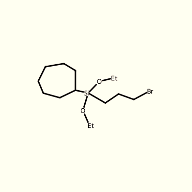 CCO[Si](CCCBr)(OCC)C1CCCCCC1